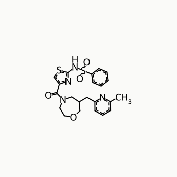 Cc1cccc(CC2COCCN(C(=O)c3csc(NS(=O)(=O)c4ccccc4)n3)C2)n1